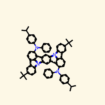 CC(C)c1ccc(N(c2ccccc2)c2ccc3c4cc(C(C)(C)C)ccc4n4c5cc6c7c(N(c8ccccc8)c8ccc(C(C)C)cc8)ccc8c9cc(C(C)(C)C)ccc9n(c6cc5c2c34)c87)cc1